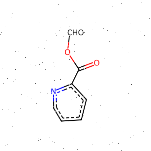 O=[C]OC(=O)c1ccccn1